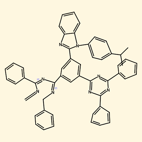 C=N/C(=N\C(=N/Cc1ccccc1)c1cc(-c2nc(-c3ccccc3)nc(-c3ccccc3)n2)cc(-c2nc3ccccc3n2-c2ccc(C(C)C)cc2)c1)c1ccccc1